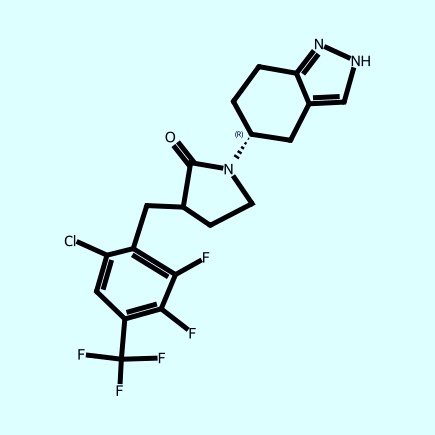 O=C1C(Cc2c(Cl)cc(C(F)(F)F)c(F)c2F)CCN1[C@@H]1CCc2n[nH]cc2C1